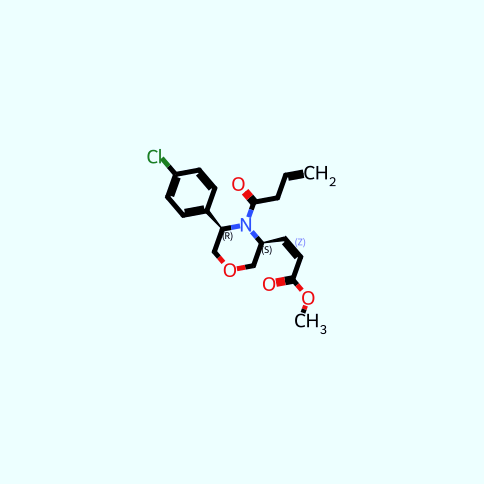 C=CCC(=O)N1[C@@H](/C=C\C(=O)OC)COC[C@H]1c1ccc(Cl)cc1